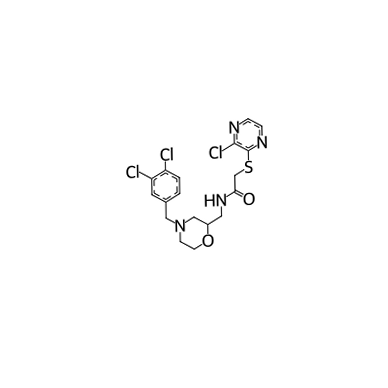 O=C(CSc1nccnc1Cl)NCC1CN(Cc2ccc(Cl)c(Cl)c2)CCO1